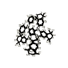 CC1(C)CCC(C)(C)c2cc(N3c4cc5c(cc4B4c6sc7cc8c(cc7c6N(c6ccc7c(c6)C(C)(C)CCC7(C)C)c6cc(N(c7ccccc7)c7ccccc7)cc3c64)C3(C)CCC8(C)CC3)C(C)(C)CCC5(C)C)ccc21